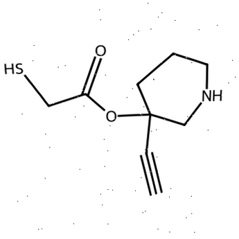 C#CC1(OC(=O)CS)CCCNC1